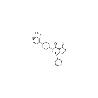 Cc1cc(C2CCC([C@@H](C)C(=O)N3C(=O)OCC3Cc3ccccc3)CC2)ccn1